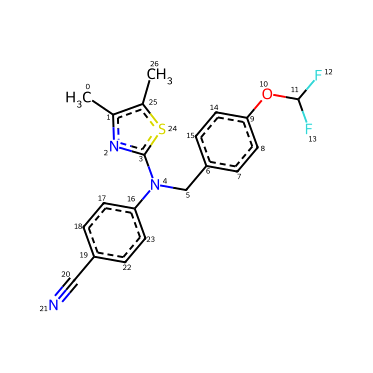 Cc1nc(N(Cc2ccc(OC(F)F)cc2)c2ccc(C#N)cc2)sc1C